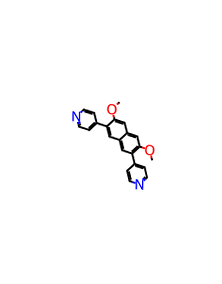 COc1cc2cc(OC)c(-c3ccncc3)cc2cc1-c1ccncc1